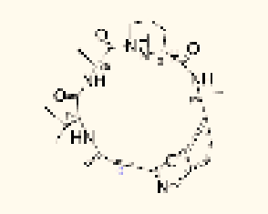 C=C1/C=C\c2cc3cc(ccc3cn2)[C@@H](C)NC(=O)[C@@H]2CCCN(N2)C(=O)[C@H](C)NC(=O)[C@H](C(C)C)N1